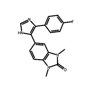 Cn1c(=O)n(C)c2cc(-c3[nH]cnc3-c3ccc(F)cc3)ccc21